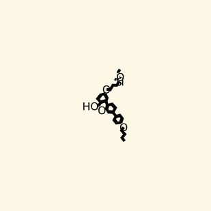 CCCCOc1ccc(-c2ccc(-c3cc(OCCC[Si](C)(C)OCC)ccc3C(=O)O)cc2)cc1